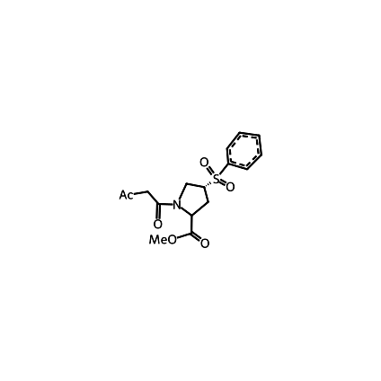 COC(=O)C1C[C@@H](S(=O)(=O)c2ccccc2)CN1C(=O)CC(C)=O